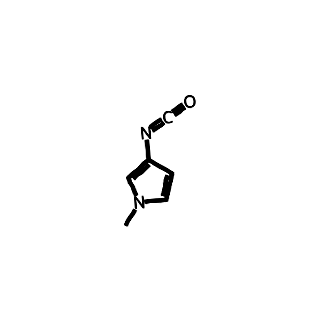 Cn1ccc(N=C=O)c1